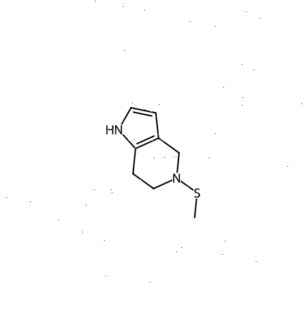 CSN1CCc2[nH]ccc2C1